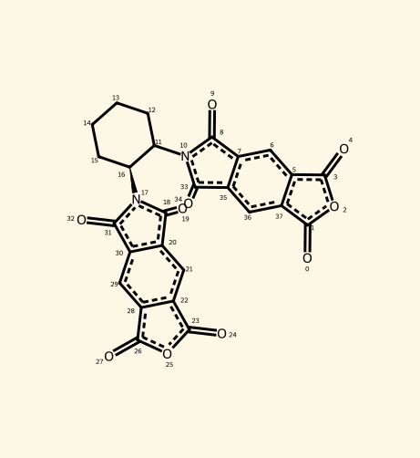 O=c1oc(=O)c2cc3c(=O)n(C4CCCC[C@@H]4n4c(=O)c5cc6c(=O)oc(=O)c6cc5c4=O)c(=O)c3cc12